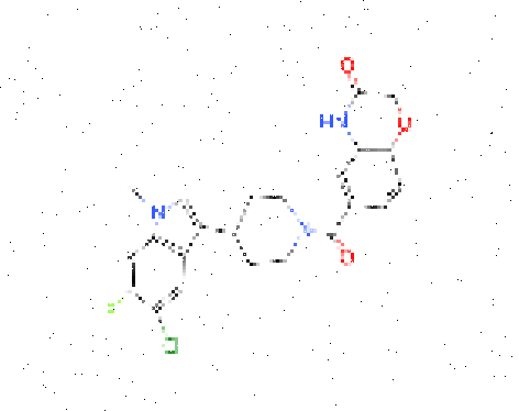 Cn1cc(C2CCN(C(=O)c3ccc4c(c3)NC(=O)CO4)CC2)c2cc(Cl)c(F)cc21